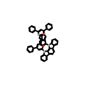 c1ccc(-c2cc(-c3ccccc3)cc(-n3c4ccccc4c4ccc5c6ccccc6n(-c6cccc(-c7nc(-c8ccccc8)cc(-c8ccccc8)n7)c6)c5c43)c2)cc1